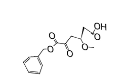 CO[C@H](CC(=O)O)CC(=O)C(=O)OCc1ccccc1